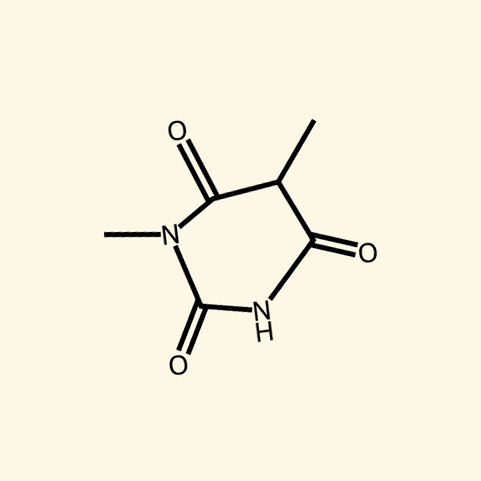 CC1C(=O)NC(=O)N(C)C1=O